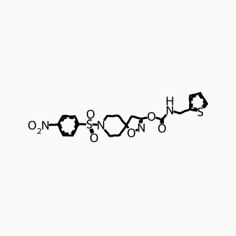 O=C(NCc1cccs1)OC1=NOC2(CCN(S(=O)(=O)c3ccc([N+](=O)[O-])cc3)CC2)C1